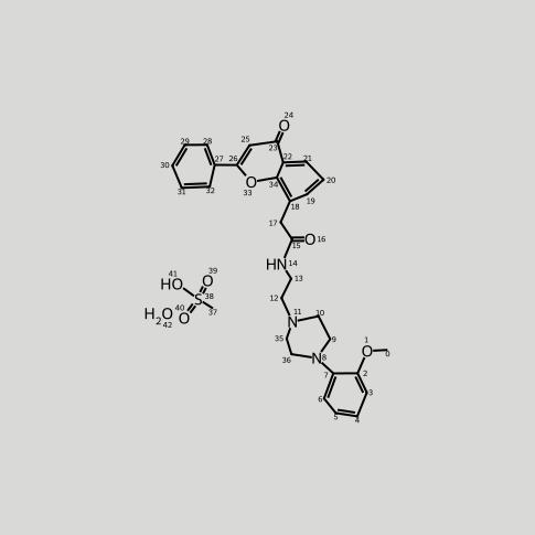 COc1ccccc1N1CCN(CCNC(=O)Cc2cccc3c(=O)cc(-c4ccccc4)oc23)CC1.CS(=O)(=O)O.O